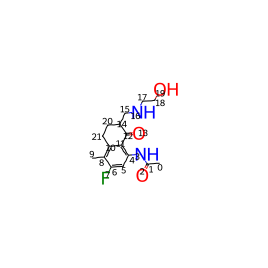 CC(=O)Nc1cc(F)c(C)c2c1C(=O)C(CNCCO)CC2